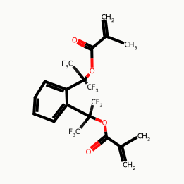 C=C(C)C(=O)OC(c1ccccc1C(OC(=O)C(=C)C)(C(F)(F)F)C(F)(F)F)(C(F)(F)F)C(F)(F)F